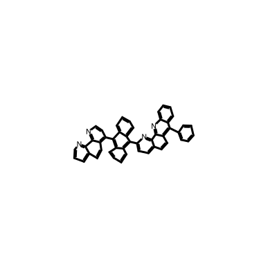 c1ccc(-c2c3ccccc3nc3c2ccc2ccc(-c4c5ccccc5c(-c5ccnc6c5ccc5cccnc56)c5ccccc45)nc23)cc1